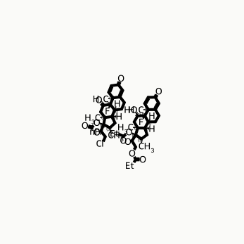 CCC(=O)OCC(=O)[C@@]1(OC(=O)CC)[C@@H](C)C[C@H]2[C@@H]3CCC4=CC(=O)C=C[C@]4(C)[C@@]3(F)[C@@H](O)C[C@@]21C.CCCC(=O)O[C@]1(C(=O)CCl)[C@@H](C)C[C@H]2[C@@H]3CCC4=CC(=O)C=C[C@]4(C)[C@@]3(F)C(=O)C[C@@]21C